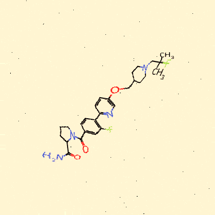 CC(C)(F)CN1CCC(COc2ccc(-c3ccc(C(=O)N4CCCC4C(N)=O)cc3F)nc2)CC1